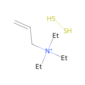 C=CC[N+](CC)(CC)CC.SS